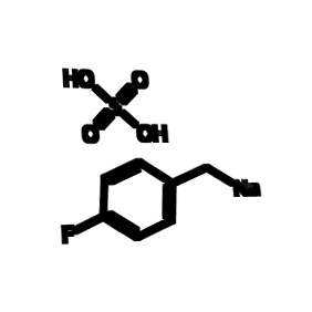 Fc1ccc([CH2][Na])cc1.O=S(=O)(O)O